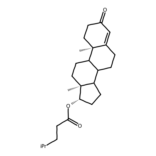 CC(C)CCC(=O)O[C@H]1CCC2C3CCC4=CC(=O)CC[C@]4(C)C3CC[C@@]21C